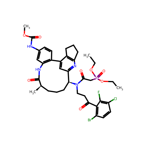 CCOP(=O)(CC(=O)N(CCC(=O)c1c(Br)ccc(Cl)c1F)[C@H]1CCC[C@@H](C)C(=O)Nc2cc(NC(=O)OC)ccc2-c2cc1nc1c2CCC1)OCC